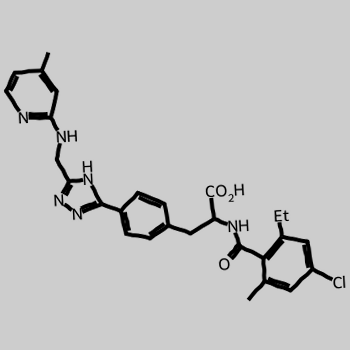 CCc1cc(Cl)cc(C)c1C(=O)NC(Cc1ccc(-c2nnc(CNc3cc(C)ccn3)[nH]2)cc1)C(=O)O